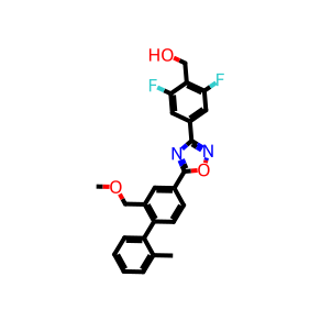 COCc1cc(-c2nc(-c3cc(F)c(CO)c(F)c3)no2)ccc1-c1ccccc1C